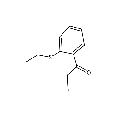 CCSc1ccccc1C(=O)CC